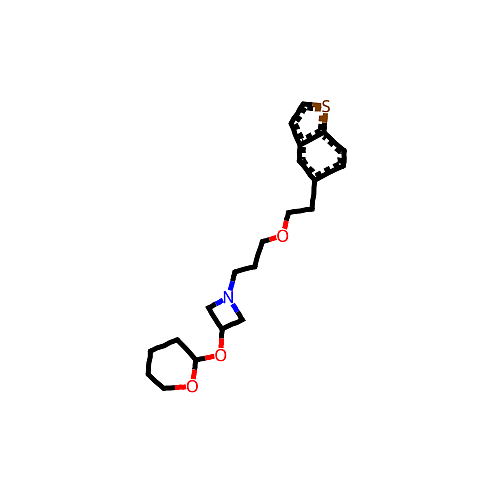 c1cc2cc(CCOCCCN3CC(OC4CCCCO4)C3)ccc2s1